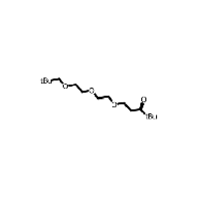 CC(C)(C)COCCOCCOCCC(=O)C(C)(C)C